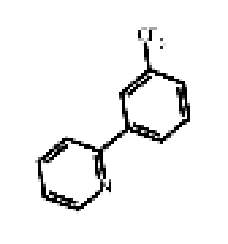 FC(F)(F)c1cccc(-c2ccc[c]n2)c1